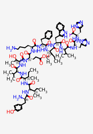 CC[C@H](C)[C@H](NC(=O)[C@H](N)Cc1ccc(O)cc1)C(=O)N[C@H](C(=O)N[C@H](C(=O)N[C@H](C(=O)N[C@@H](CCC(=O)O)C(=O)N[C@@H](CCCCN)C(=O)N[C@@H](Cc1ccccc1)C(=O)N[C@H](C(=O)N[C@@H](Cc1c[nH]c2ccccc12)C(=O)N[C@H](C(=O)N[C@@H](Cc1cnc[nH]1)C(=O)N[C@@H](Cc1cnc[nH]1)C(=O)I)C(C)C)[C@@H](C)CC)[C@@H](C)O)C(C)C)[C@@H](C)CC